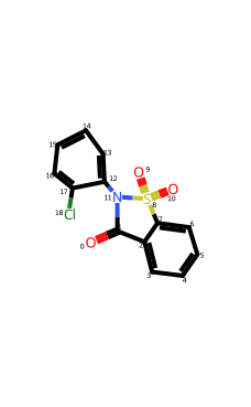 O=C1c2ccccc2S(=O)(=O)N1c1ccccc1Cl